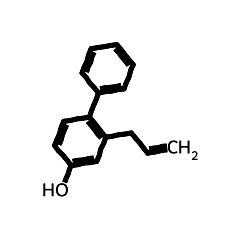 C=CCc1cc(O)ccc1-c1ccccc1